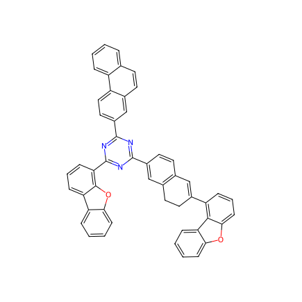 C1=C(c2cccc3oc4ccccc4c23)CCc2cc(-c3nc(-c4ccc5c(ccc6ccccc65)c4)nc(-c4cccc5c4oc4ccccc45)n3)ccc21